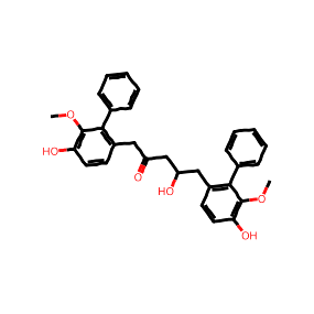 COc1c(O)ccc(CC(=O)CC(O)Cc2ccc(O)c(OC)c2-c2ccccc2)c1-c1ccccc1